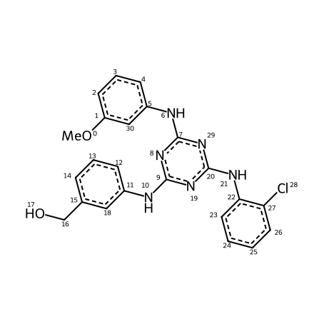 COc1cccc(Nc2nc(Nc3cccc(CO)c3)nc(Nc3ccccc3Cl)n2)c1